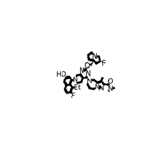 CCc1c(F)ccc2cc(O)cc(N3CCc4c(nc(OC[C@@]56CCCN5C[C@H](F)C6)nc4N4CCCn5nc(C(=O)N(C)C)c(C)c5C4)C3)c12